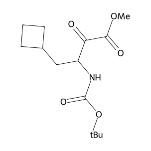 COC(=O)C(=O)C(CC1CCC1)NC(=O)OC(C)(C)C